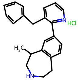 CC1CNCCc2ccc(-c3ncccc3Cc3ccccc3)cc21.Cl